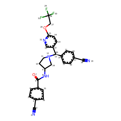 N#Cc1ccc(C(=O)NC2CCN([C@H](c3ccc(C#N)cc3)c3ccc(OCC(F)(F)F)nc3)C2)cc1